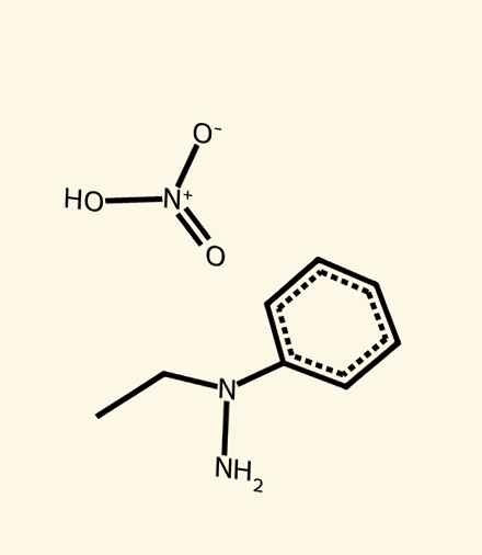 CCN(N)c1ccccc1.O=[N+]([O-])O